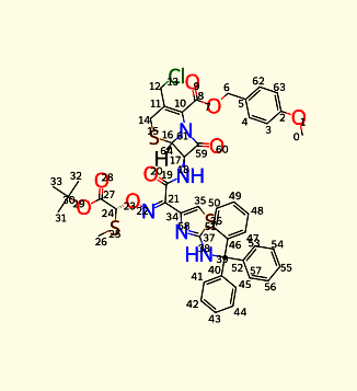 COc1ccc(COC(=O)C2=C(CCl)CS[C@H]3[C@H](NC(=O)/C(=N\O[C@H](SC)C(=O)OC(C)(C)C)c4csc(NC(c5ccccc5)(c5ccccc5)c5ccccc5)n4)C(=O)N23)cc1